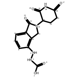 O=C(O)NNc1cccc2c1CN(C1CCC(=O)NC1=O)C2=O